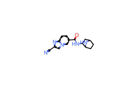 N#Cc1cn2cc(C(=O)NC3CC4CCC3N4)ccc2n1